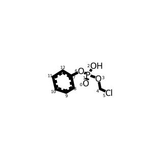 O=P(O)(OCCl)Oc1ccccc1